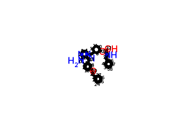 Nc1nccn2c(C3CCCCC3)nc(-c3cccc(OCc4ccccc4)c3)c12.O=C(O)NCc1ccccc1